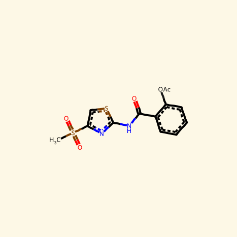 CC(=O)Oc1ccccc1C(=O)Nc1nc(S(C)(=O)=O)cs1